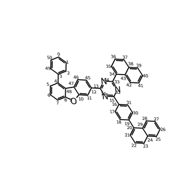 c1ccc(-c2cccc3oc4cc(-c5nc(-c6ccc(-c7cccc8ccccc78)cc6)nc(-c6cccc7ccccc67)n5)ccc4c23)cc1